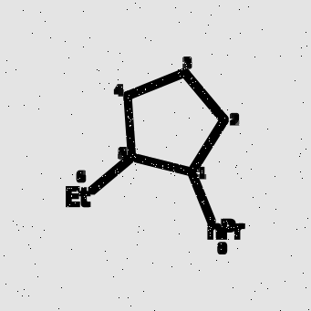 [CH2]CCC1CCCC1CC